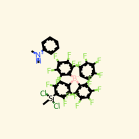 C[NH+](C)c1ccccc1.C[Si](Cl)(Cl)c1c(F)c(F)c([B-](c2c(F)c(F)c(F)c(F)c2F)(c2c(F)c(F)c(F)c(F)c2F)c2c(F)c(F)c(F)c(F)c2F)c(F)c1F